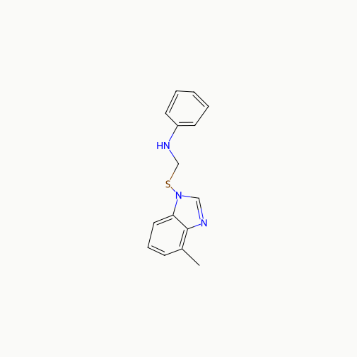 Cc1cccc2c1ncn2SCNc1ccccc1